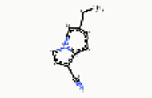 CCc1ccc2c(C#N)ccn2c1